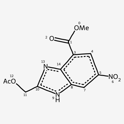 COC(=O)c1cc([N+](=O)[O-])cc2[nH]c(COC(C)=O)nc12